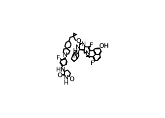 C#Cc1c(F)ccc2cc(O)cc(-c3ncc4c(N5CC6CCC(C5)N6)nc(OCC5(CC6CCC7(CC6)CCN(c6ccc(NC8CCC(=O)NC8=O)cc6F)CC7)CC5)nc4c3F)c12